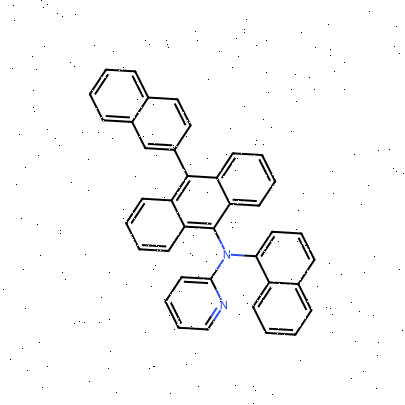 c1ccc(N(c2cccc3ccccc23)c2c3ccccc3c(-c3ccc4ccccc4c3)c3ccccc23)nc1